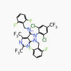 Fc1cccc(F)c1C/N=c1\c2c(C(F)(F)F)nc(C(F)(F)F)nc2n(Cc2c(F)cccc2F)n1-c1c(Cl)cc(C(F)(F)F)cc1Cl